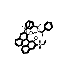 CC[Si@@H](C)c1cc2ccccc2c2c1op(N([C@H](C)c1ccccc1)[C@H](C)c1ccccc1)oc1c([Si](C)(C)CC)cc3ccccc3c12